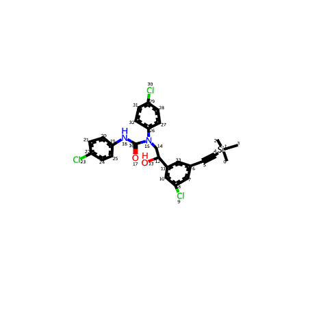 C[Si](C)(C)C#Cc1cc(Cl)cc(C(O)CN(C(=O)Nc2ccc(Cl)cc2)c2ccc(Cl)cc2)c1